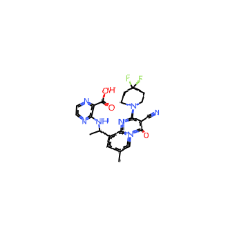 Cc1cc(C(C)Nc2nccnc2C(=O)O)c2nc(N3CCC(F)(F)CC3)c(C#N)c(=O)n2c1